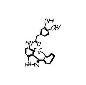 O=C(Cc1ccc(O)c(O)c1)Nc1ccc2[nH]nc(-c3ccccc3C(F)(F)F)c2c1